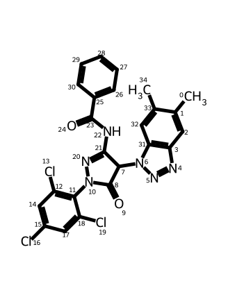 Cc1cc2nnn(C3C(=O)N(c4c(Cl)cc(Cl)cc4Cl)N=C3NC(=O)c3ccccc3)c2cc1C